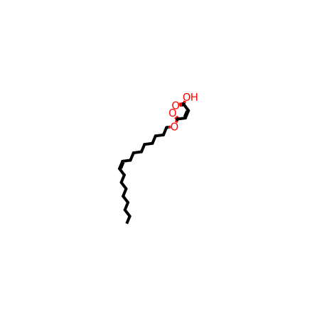 CCCCCCCC/C=C\CCCCCCCCOC(=O)/C=C\C(=O)O